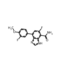 COc1ccc(-c2cc(F)c(C(N)=O)c3[nH]cnc23)cc1F